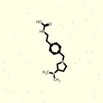 CN(C)C1CCN(Cc2ccc(CCNC(=O)O)cc2)C1